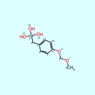 COCOc1ccc(C[Si](O)(O)O)cc1